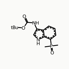 CC(C)(C)OC(=O)Nc1c[nH]c2c(P(C)(C)=O)cccc12